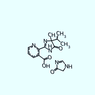 CC(C)C1(C)N=C(c2ncccc2C(=O)O)NC1=O.O=C1CNC=N1